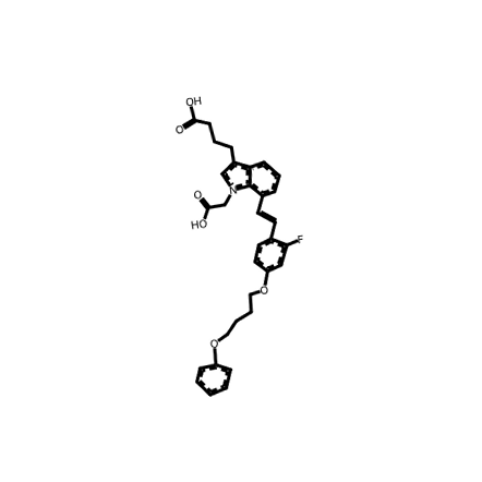 O=C(O)CCCc1cn(CC(=O)O)c2c(C=Cc3ccc(OCCCCOc4ccccc4)cc3F)cccc12